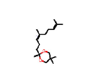 CC(C)=CCC/C(C)=C\CCC1(C)OCC(C)(C)CO1